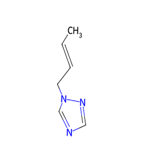 C/C=C/Cn1cncn1